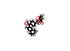 Cc1cc2c(cc1C1(c3ccc(B4OC(C)(C)C(C)(C)O4)cc3)CO1)C(C)(C)CCC2(C)C